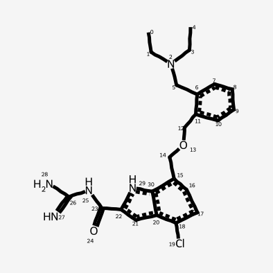 CCN(CC)Cc1ccccc1COCc1ccc(Cl)c2cc(C(=O)NC(=N)N)[nH]c12